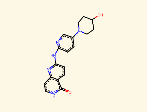 O=c1[nH]ccc2nc(Nc3ccc(N4CCC(O)CC4)cn3)ccc12